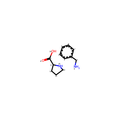 NCc1ccccc1.O=C(O)C1CCCN1